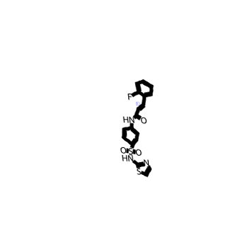 O=C(/C=C/c1ccccc1F)Nc1ccc(S(=O)(=O)Nc2nccs2)cc1